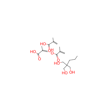 C=C(C)C(=O)O.C=C(C)C(=O)O.C=C(C)C(=O)O.CCCC(CO)(CO)CO